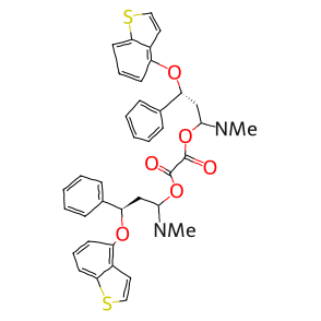 CNC(C[C@@H](Oc1cccc2sccc12)c1ccccc1)OC(=O)C(=O)OC(C[C@@H](Oc1cccc2sccc12)c1ccccc1)NC